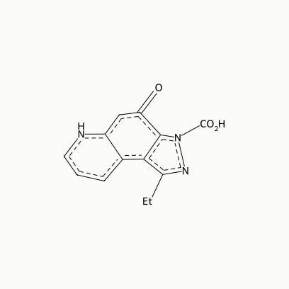 CCc1nn(C(=O)O)c2c(=O)cc3[nH]cccc-3c12